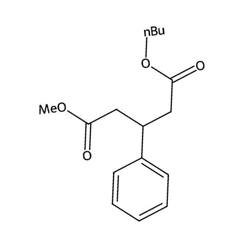 CCCCOC(=O)CC(CC(=O)OC)c1ccccc1